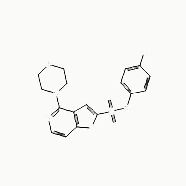 Cl.O=S(=O)(Nc1ccc(Cl)cc1)c1cc2c(N3CCNCC3)nccc2s1